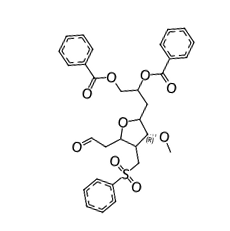 CO[C@H]1C(CC(COC(=O)c2ccccc2)OC(=O)c2ccccc2)OC(CC=O)C1CS(=O)(=O)c1ccccc1